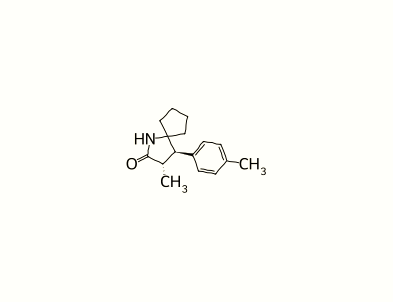 Cc1ccc([C@H]2[C@H](C)C(=O)NC23CCCC3)cc1